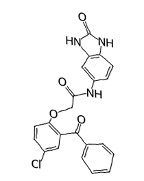 O=C(COc1ccc(Cl)cc1C(=O)c1ccccc1)Nc1ccc2[nH]c(=O)[nH]c2c1